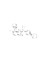 O=c1ccc2cnc(Nc3ccc(N4CCCCC4)cc3)nc2n1C1CC2CCC1C2